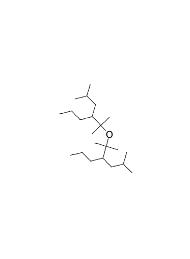 CCCC(CC(C)C)C(C)(C)OC(C)(C)C(CCC)CC(C)C